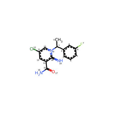 CC(c1cccc(F)c1)n1cc(Cl)cc(C(N)=O)c1=N